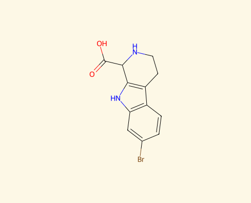 O=C(O)C1NCCc2c1[nH]c1cc(Br)ccc21